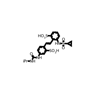 CC(C)NC(=O)Nc1ccc(C=Cc2c(NS(=O)(=O)C3CC3)cccc2S(=O)(=O)O)c(S(=O)(=O)O)c1